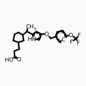 CC(c1cc(OCc2ccc(OC(F)(F)F)cc2)c[nH]1)C1CCCC(CCC(=O)O)C1